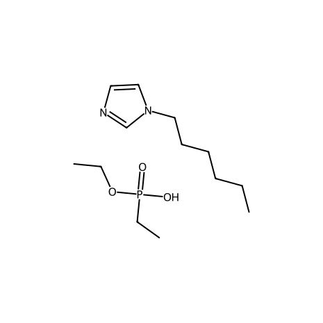 CCCCCCn1ccnc1.CCOP(=O)(O)CC